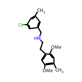 COc1cc(CCNCc2cc(C)cc(Cl)c2)c(OC)cc1C